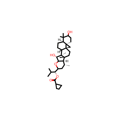 CC(C)[C@@H](OC(=O)C1CCC1)C1C[C@@H](C)[C@H]2C(O1)[C@H](O)[C@@]1(C)[C@@H]3CC[C@H]4C(C)(C)C(O)CC[C@@]45C[C@@]35CC[C@]21C